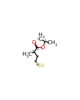 CC(C)OC(=O)C(C)CCS